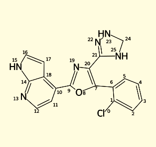 Clc1ccccc1-c1oc(-c2ccnc3[nH]ccc23)nc1C1=NNCN1